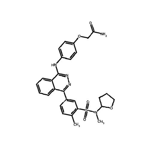 Cc1ccc(-c2nnc(Nc3ccc(OCC(N)=O)cc3)c3ccccc23)cc1S(=O)(=O)N(C)C1CCCO1